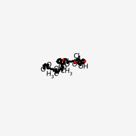 CN(CCN(C)C(=O)Oc1cc2c(c3ccccc13)CCN2C(=O)CCCC(=O)N1C[C@@H](CCl)c2c1cc(O)c1ccccc21)C(=O)CCCCCN1C(=O)C=CC1=O